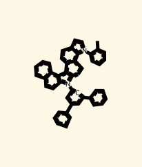 Cc1ccccc1-n1ccc2ccc3c(ccc4c3c3c5ccccc5ccc3n4-c3cc(-c4ccccc4)cc(-c4ccccc4)c3)c21